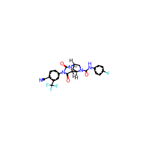 N#Cc1ccc(N2C(=O)[C@H]3[C@@H]4C[C@@H](CN4C(=O)Nc4ccc(F)cc4)N3C2=O)cc1C(F)(F)F